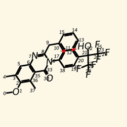 COc1c(C)cc2nc(Cc3ccccc3)n(-c3ccc(C(O)(C(F)(F)F)C(F)(F)F)cc3)c(=O)c2c1C